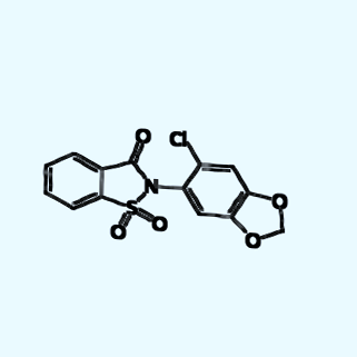 O=C1c2ccccc2S(=O)(=O)N1c1cc2c(cc1Cl)OCO2